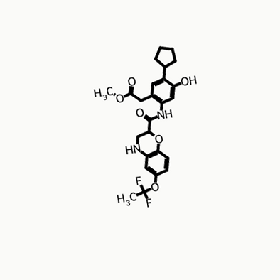 COC(=O)Cc1cc(C2CCCC2)c(O)cc1NC(=O)C1CNc2cc(OC(C)(F)F)ccc2O1